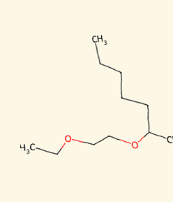 [CH2]C(CCCCC)OCCOCC